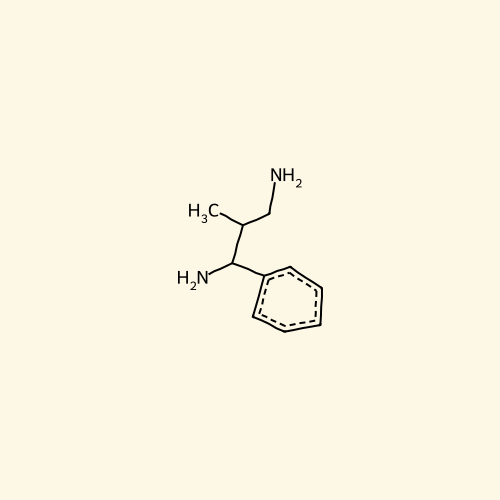 CC(CN)C(N)c1ccccc1